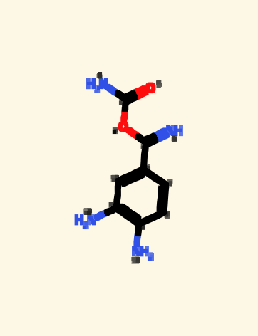 N=C(OC(N)=O)c1ccc(N)c(N)c1